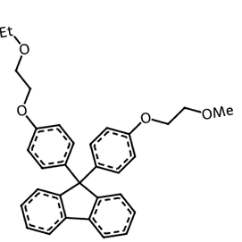 CCOCCOc1ccc(C2(c3ccc(OCCOC)cc3)c3ccccc3-c3ccccc32)cc1